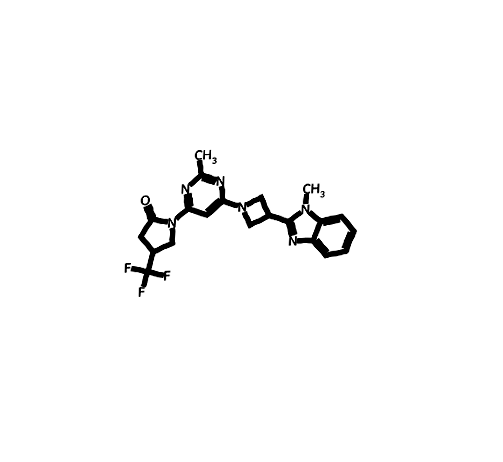 Cc1nc(N2CC(c3nc4ccccc4n3C)C2)cc(N2CC(C(F)(F)F)CC2=O)n1